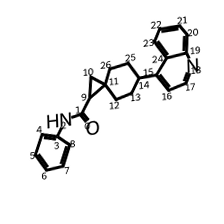 O=C(Nc1ccccc1)C1CC12CCC(c1ccnc3ccccc13)CC2